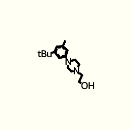 Cc1cc(N2CCN(CCO)CC2)cc(C(C)(C)C)c1